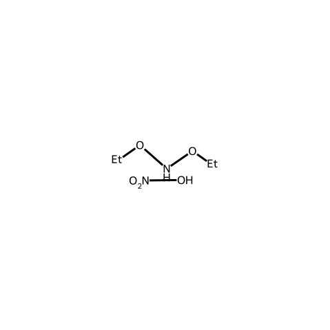 CCONOCC.O=[N+]([O-])O